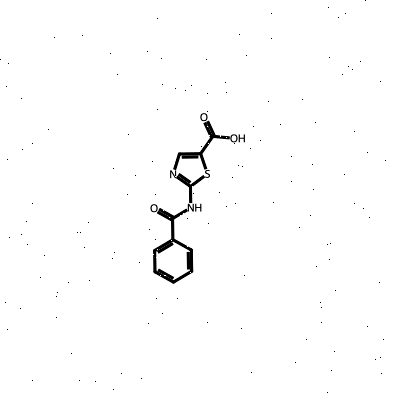 O=C(Nc1ncc(C(=O)O)s1)c1ccccc1